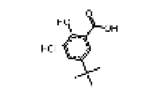 CC(C)(C)c1ccc(O)c(C(=O)O)c1.Cl